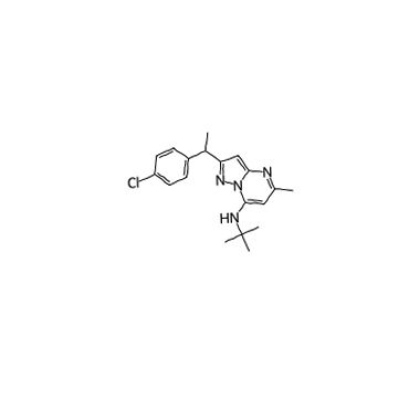 Cc1cc(NC(C)(C)C)n2nc(C(C)c3ccc(Cl)cc3)cc2n1